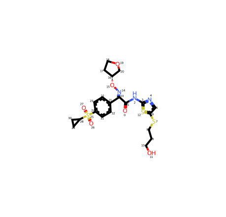 O=C(Nc1ncc(SCCCO)s1)/C(=N/O[C@@H]1CCOC1)c1ccc(S(=O)(=O)C2CC2)cc1